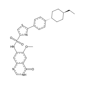 CC[C@H]1CC[C@H](c2ccc(-c3nc(S(=O)(=O)Nc4cc5nc[nH]c(=O)c5cc4OC)cs3)cc2)CC1